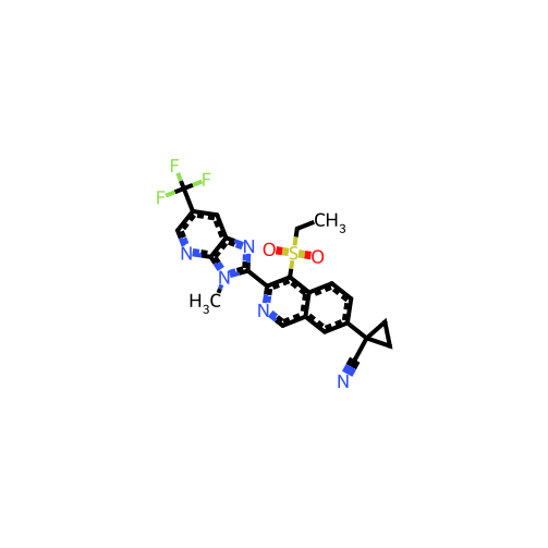 CCS(=O)(=O)c1c(-c2nc3cc(C(F)(F)F)cnc3n2C)ncc2cc(C3(C#N)CC3)ccc12